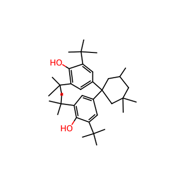 CC1CC(C)(C)CC(c2cc(C(C)(C)C)c(O)c(C(C)(C)C)c2)(c2cc(C(C)(C)C)c(O)c(C(C)(C)C)c2)C1